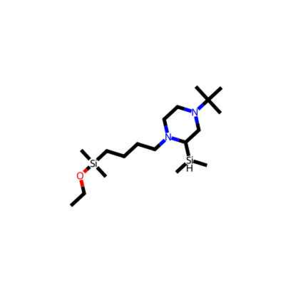 CCO[Si](C)(C)CCCCN1CCN(C(C)(C)C)CC1[SiH](C)C